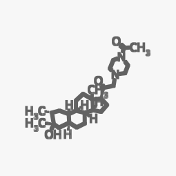 CC(=O)N1CCN(CC(=O)[C@H]2CC[C@H]3[C@@H]4CC[C@H]5C[C@](C)(O)[C@H](C)C[C@@H]5[C@H]4CC[C@]23C)CC1